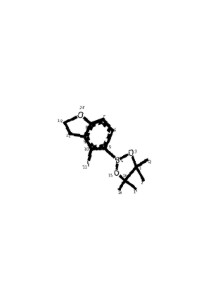 CC1(C)OB(c2ccc3c(c2I)CCO3)OC1(C)C